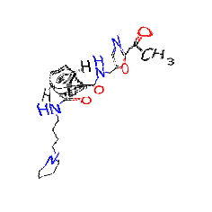 CC(=O)c1ncc(CNC(=O)[C@H]2[C@H](C(=O)NCCCCN3CCCC3)[C@H]3C=C[C@@H]2C32CC2)o1